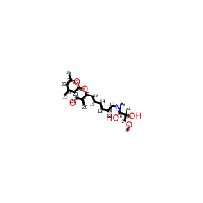 COC[C@@](C)(O)C(O)N(C)C[C@H](C)CCCC[C@H](O[C@H]1CC(C)CC(C)O1)C(C)C=O